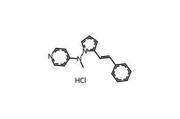 CN(c1ccncc1)n1cccc1C=Cc1ccccc1.Cl